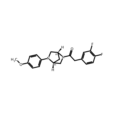 COc1ccc(N2C[C@H]3C[C@@H]2CN3C(=O)Cc2ccc(F)c(F)c2)cc1